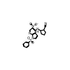 N#CC1CCCC1Nc1c([N+](=O)[O-])cnc2c1ccn2S(=O)(=O)c1ccccc1